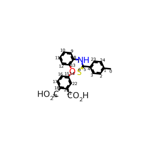 Cc1ccc(C(=S)Nc2ccccc2Oc2ccc(C(=O)O)c(C(=O)O)c2)cc1